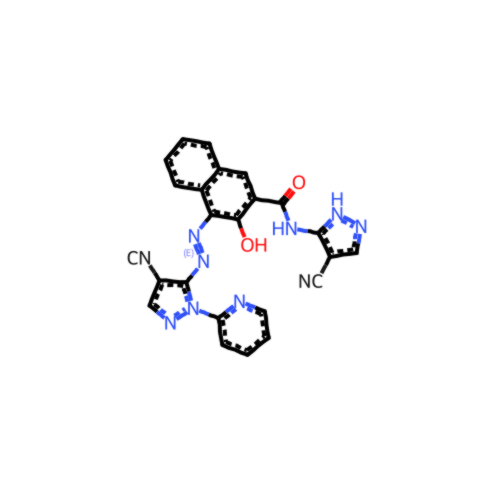 [C-]#[N+]c1cnn(-c2ccccn2)c1/N=N/c1c(O)c(C(=O)Nc2[nH]ncc2C#N)cc2ccccc12